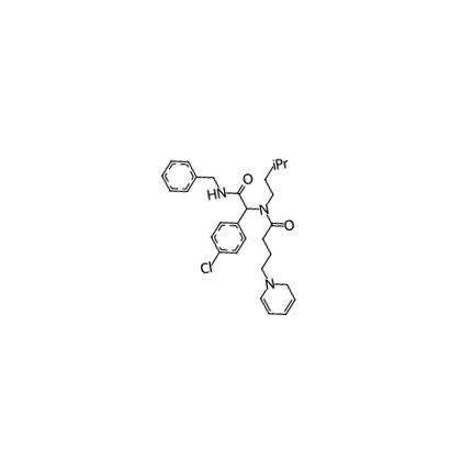 CC(C)CCN(C(=O)CCCN1C=CC=CC1)C(C(=O)NCc1ccccc1)c1ccc(Cl)cc1